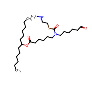 CCCCCCC(CCCCCC)OC(=O)CCCCCN(CCCCCC=O)C(=O)SCCNC